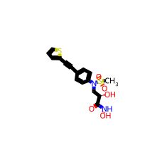 CS(=O)(=O)N(C[C@H](O)C(=O)NO)c1ccc(C#Cc2cccs2)cc1